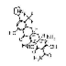 NC(=O)C1=C(O)[C@@H](N)[C@@H]2C[C@@H]3Cc4c(c(O)cc(C5CCCN5)c4C(F)(F)F)C(=O)C3=C(O)[C@]2(O)C1=O